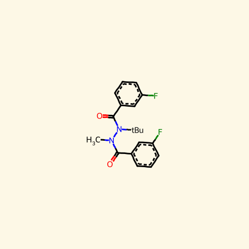 CN(C(=O)c1cccc(F)c1)N(C(=O)c1cccc(F)c1)C(C)(C)C